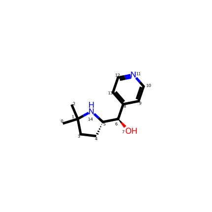 CC1(C)CC[C@@H]([C@H](O)c2ccncc2)N1